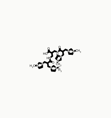 CN1C=CN(CC(CN2C=CN(C)C2)C(=O)NCC(CNC(=O)C(CN2C=CN(C)C2)CN2C=CN(C)C2)C(=O)O)C1